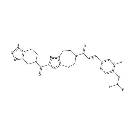 O=C(/C=C/c1ccc(OC(F)F)c(F)c1)N1CCc2cc(C(=O)N3CCc4[nH]nnc4C3)nn2CC1